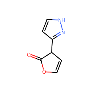 O=C1OC=CC1c1cc[nH]n1